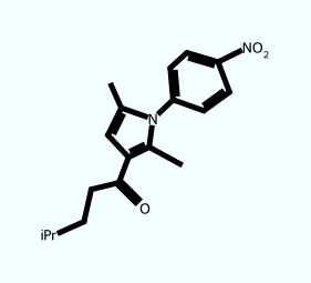 Cc1cc(C(=O)CCC(C)C)c(C)n1-c1ccc([N+](=O)[O-])cc1